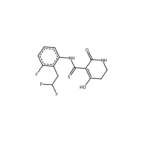 O=C1NCCC(O)=C1C(=S)Nc1cccc(F)c1CC(F)F